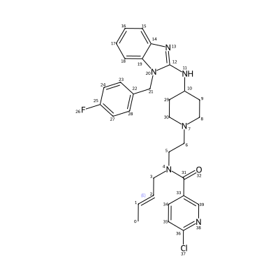 C/C=C/CN(CCN1CCC(Nc2nc3ccccc3n2Cc2ccc(F)cc2)CC1)C(=O)c1ccc(Cl)nc1